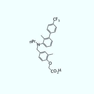 CCCN(Cc1ccc(OCC(=O)O)c(C)c1)c1cccc(-c2ccc(C(F)(F)F)cc2)c1C